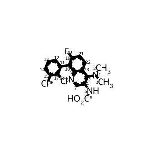 CN(C)c1c(NC(=O)O)cnc2c(-c3cccc(Cl)c3Cl)c(F)ccc12